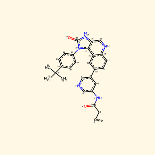 COCC(=O)Nc1cncc(-c2ccc3ncc4[nH]c(=O)n(-c5ccc(C(C)(C)C#N)cc5)c4c3c2)c1